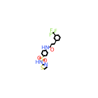 O=C(/C=C/c1cccc(C(F)(F)F)c1)Nc1ccc(S(=O)(=O)Nc2nccs2)cc1